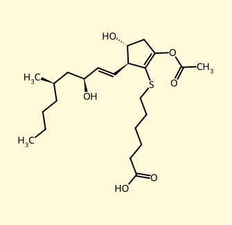 CCCC[C@@H](C)C[C@H](O)C=C[C@@H]1C(SCCCCCC(=O)O)=C(OC(C)=O)C[C@H]1O